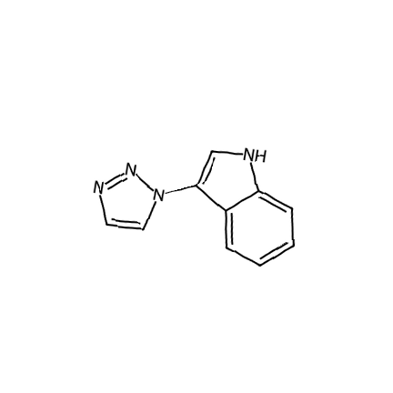 c1ccc2c(-n3ccnn3)c[nH]c2c1